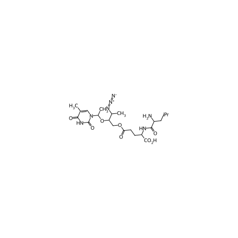 Cc1cn(C(C)OC(COC(=O)CCC(NC(=O)C(N)CC(C)C)C(=O)O)C(C)N=[N+]=[N-])c(=O)[nH]c1=O